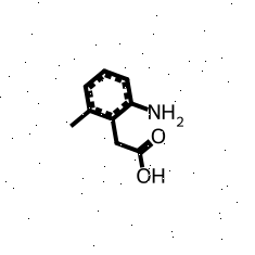 Cc1cccc(N)c1CC(=O)O